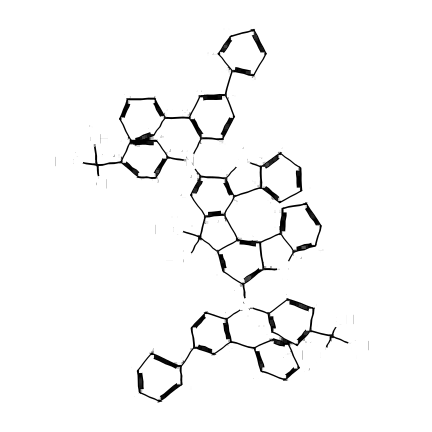 CC(C)(C)c1ccc(N(c2ccc(-c3ccccc3)cc2-c2ccccc2)c2cc3c(c4c2oc2ccccc24)-c2c(cc(N(c4ccc(C(C)(C)C)cc4)c4ccc(-c5ccccc5)cc4-c4ccccc4)c4oc5ccccc5c24)C3(C)C)cc1